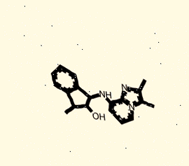 Cc1nc2c(NC3c4ccccc4C(C)C3O)cccn2c1C